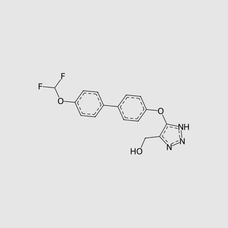 OCc1nn[nH]c1Oc1ccc(-c2ccc(OC(F)F)cc2)cc1